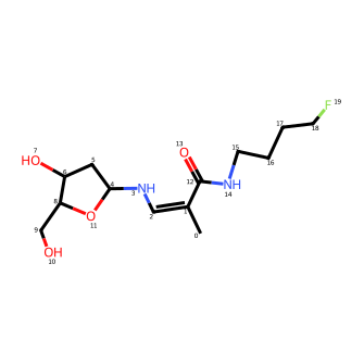 C/C(=C/NC1CC(O)C(CO)O1)C(=O)NCCCCF